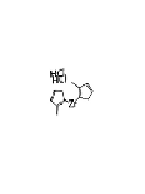 CC1=[C]([Zr][C]2=C(C)C=CC2)CC=C1.Cl.Cl